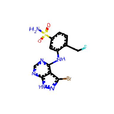 NS(=O)(=O)c1ccc(CF)c(Nc2ncnc3[nH]nc(Br)c23)c1